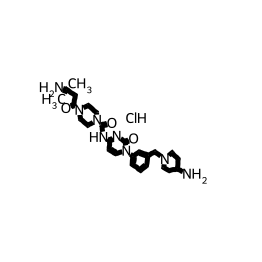 CC(C)(N)CC(=O)N1CCN(C(=O)Nc2ccn(-c3cccc(CN4CCC(N)CC4)c3)c(=O)n2)CC1.Cl